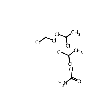 CC(Cl)Cl.CC(Cl)Cl.ClCCl.NC(=O)Cl